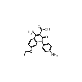 CCOc1ccc2c(N)c(C(=O)O)c(=O)n(-c3ccc(N)cc3)c2c1